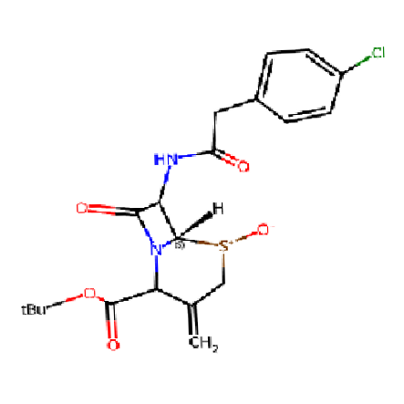 C=C1C[S+]([O-])[C@H]2C(NC(=O)Cc3ccc(Cl)cc3)C(=O)N2C1C(=O)OC(C)(C)C